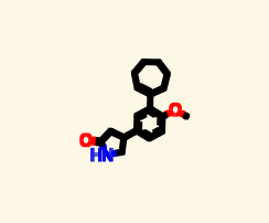 COc1ccc(C2CNC(=O)C2)cc1C1=CCCCCC1